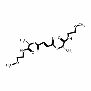 COCCNC(=O)[C@H](C)OC(=O)/C=C/C(=O)O[C@@H](C)C(=O)NCCOC